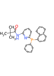 CC(C)(C)C(=O)Nc1cccc(P(c2ccccc2)c2cccc3ccccc23)n1